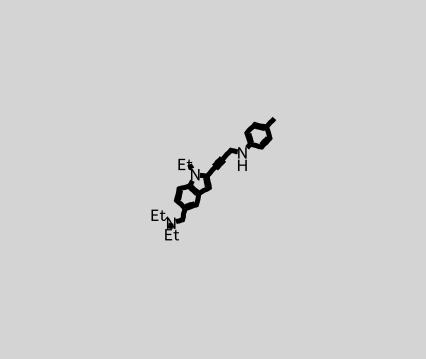 CCN(CC)Cc1ccc2c(c1)cc(C#CCNc1ccc(C)cc1)n2CC